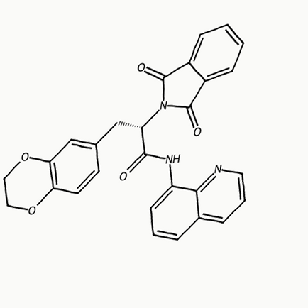 O=C(Nc1cccc2cccnc12)[C@H](Cc1ccc2c(c1)OCCO2)N1C(=O)c2ccccc2C1=O